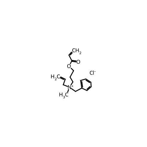 C=CC[N+](C)(CCCOC(=O)C=C)Cc1ccccc1.[Cl-]